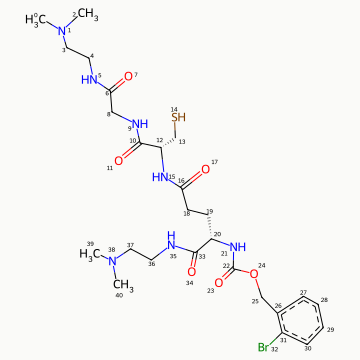 CN(C)CCNC(=O)CNC(=O)[C@H](CS)NC(=O)CC[C@H](NC(=O)OCc1ccccc1Br)C(=O)NCCN(C)C